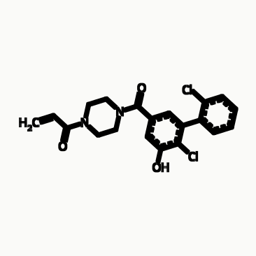 C=CC(=O)N1CCN(C(=O)c2cc(O)c(Cl)c(-c3ccccc3Cl)c2)CC1